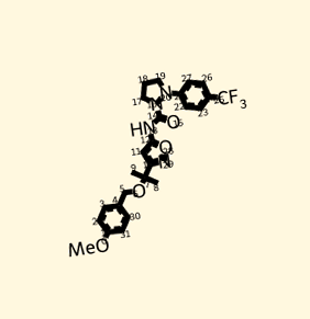 COc1ccc(COC(C)(C)c2cc(NC(=O)N3CCCN3c3ccc(C(F)(F)F)cc3)on2)cc1